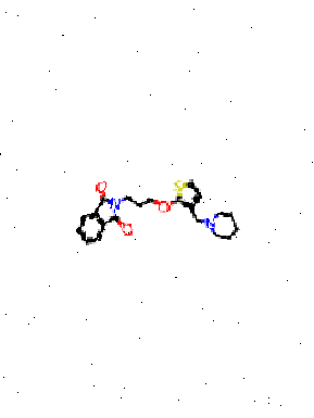 O=C1c2ccccc2C(=O)N1CCCOc1sccc1CN1CCCCC1